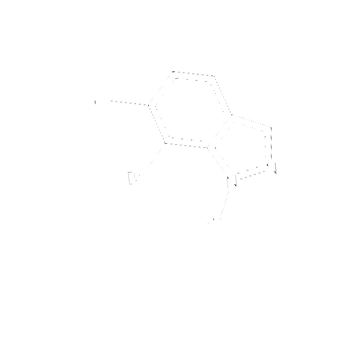 CC(C)n1ncc2ccc(Cl)c(Br)c21